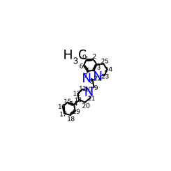 Cc1cc2c3c(c1)nc(CN1CCC(c4ccccc4)CC1)n3CCC2